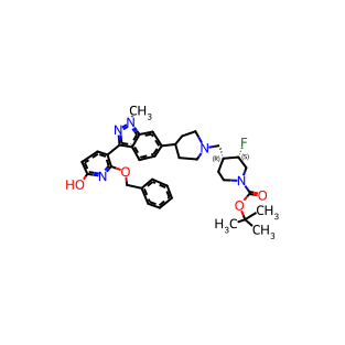 Cn1nc(-c2ccc(O)nc2OCc2ccccc2)c2ccc(C3CCN(C[C@H]4CCN(C(=O)OC(C)(C)C)C[C@H]4F)CC3)cc21